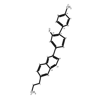 CCCc1ccc2cc(-c3ccc(-c4ccc(C)cc4)c(F)c3)ccc2c1